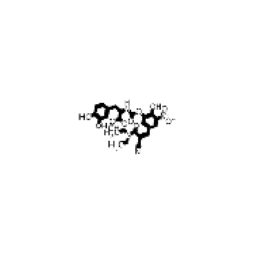 CCN(CC)C(=O)C(C#N)=Cc1cc(OC(=O)NC(Cc2ccc(O)c(O)c2)C(=O)OC)c(O)c([N+](=O)[O-])c1